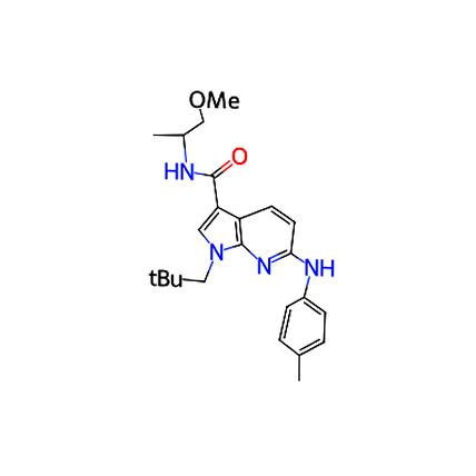 COCC(C)NC(=O)c1cn(CC(C)(C)C)c2nc(Nc3ccc(C)cc3)ccc12